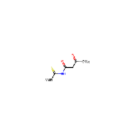 CNC(=S)NC(=O)CC(=O)OC